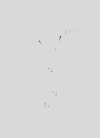 Cc1nnc(N2CC[C@H](C=O)[C@H](F)C2)s1